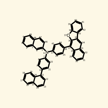 c1ccc2cc(N(c3ccc(-c4cccc5ccccc45)cc3)c3ccc(-c4c5ccccc5cc5c4oc4ccccc45)cc3)ccc2c1